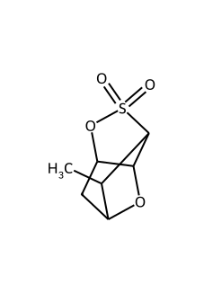 CC1C2CC3OS(=O)(=O)C1C3O2